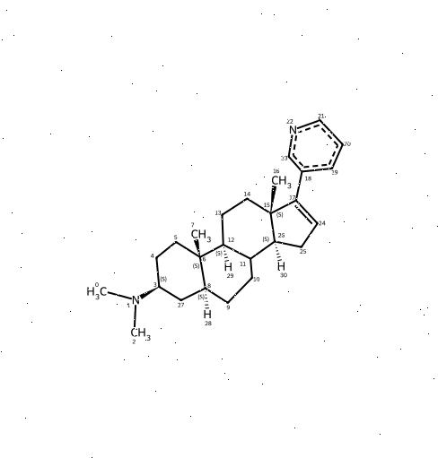 CN(C)[C@H]1CC[C@@]2(C)[C@@H](CCC3[C@@H]2CC[C@]2(C)C(c4cccnc4)=CC[C@@H]32)C1